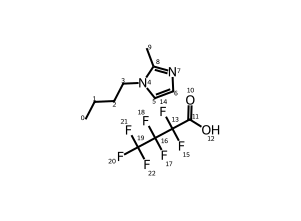 CCCCn1ccnc1C.O=C(O)C(F)(F)C(F)(F)C(F)(F)F